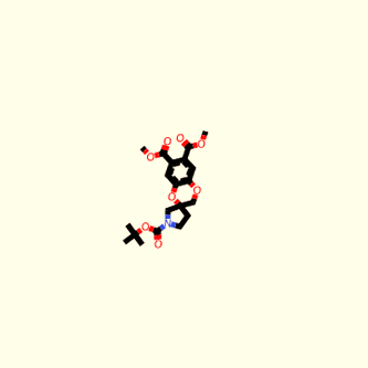 COC(=O)c1cc2c(cc1C(=O)OC)OC1(CCN(C(=O)OC(C)(C)C)C1)CO2